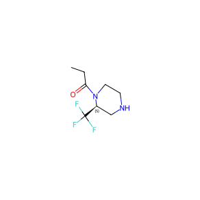 CCC(=O)N1CCNC[C@H]1C(F)(F)F